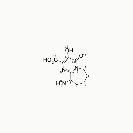 NC1CCCCn2c1nc(C(=O)O)c(O)c2=O